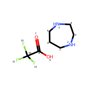 C1CNCCNC1.O=C(O)C(F)(F)F